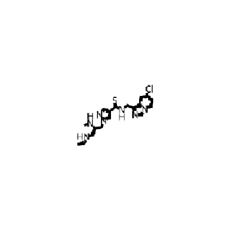 C=CN/C=C(/Cn1cc(C(=S)NCc2ncn3ccc(Cl)cc23)cn1)NC